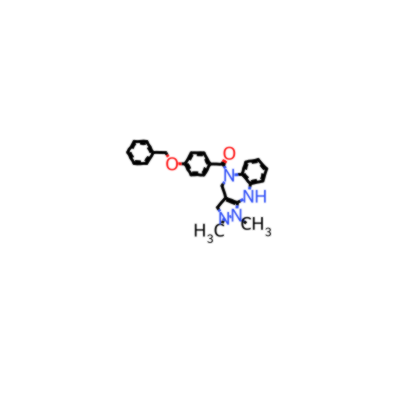 CN1CC2=C(Nc3ccccc3N(C(=O)c3ccc(OCc4ccccc4)cc3)C2)N1C